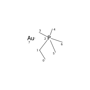 CCP(C)(C)(C)C.[Au]